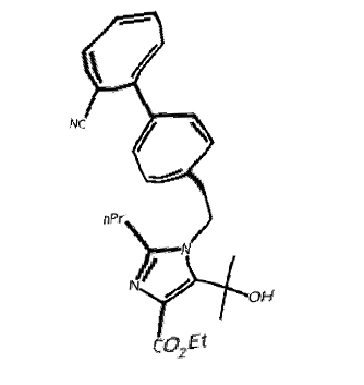 CCCc1nc(C(=O)OCC)c(C(C)(C)O)n1Cc1ccc(-c2ccccc2C#N)cc1